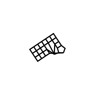 C1C2C3C4CC5C6C7C8C9CC%10C%11CC%12C%13C%14C1C1C2C32C45C63C12C%141C%132C%11%12C%109C82C731